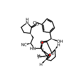 N#C[C@@H](C[C@H]1CCNC1=O)NC(=O)[C@@H]1[C@H]2CC[C@H](CC2(F)F)N1C(=O)[C@H](O)c1cccc(Cl)c1